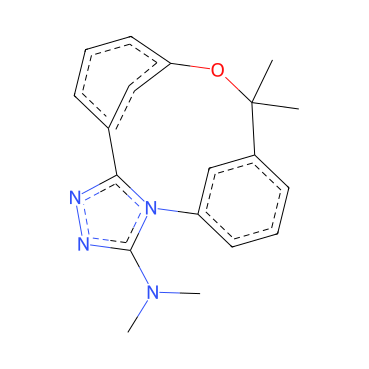 CN(C)c1nnc2n1-c1cccc(c1)C(C)(C)Oc1cccc-2c1